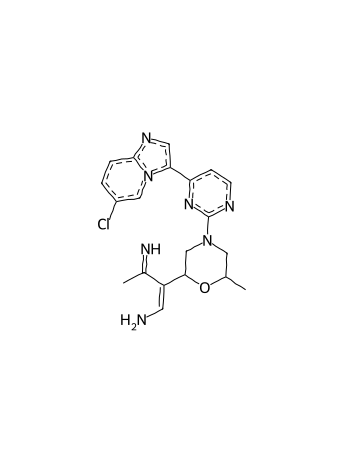 CC(=N)/C(=C\N)C1CN(c2nccc(-c3cnc4ccc(Cl)cn34)n2)CC(C)O1